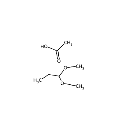 CC(=O)O.CCC(OC)OC